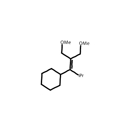 COCC(COC)=C(C(C)C)C1CCCCC1